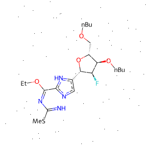 CCCCOC[C@H]1O[C@@H](c2cnc(/C(=N\C(=N)SC)OCC)[nH]2)[C@H](F)[C@@H]1OCCCC